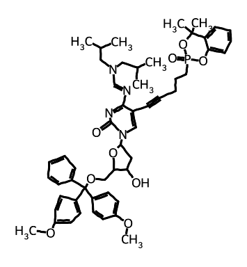 COc1ccc(C(OCC2OC(n3cc(C#CCCCP4(=O)Oc5ccccc5C(C)(C)O4)c(/N=C/N(CC(C)C)CC(C)C)nc3=O)CC2O)(c2ccccc2)c2ccc(OC)cc2)cc1